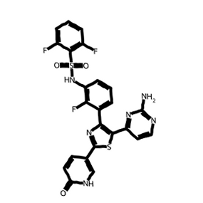 Nc1nccc(-c2sc(-c3ccc(=O)[nH]c3)nc2-c2cccc(NS(=O)(=O)c3c(F)cccc3F)c2F)n1